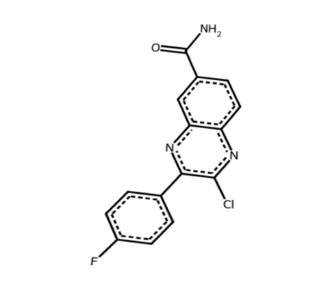 NC(=O)c1ccc2nc(Cl)c(-c3ccc(F)cc3)nc2c1